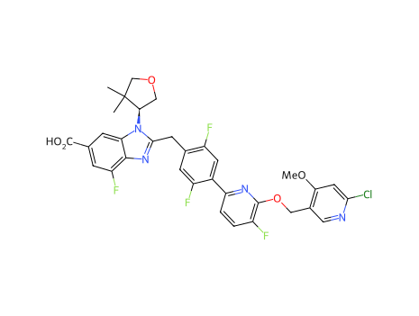 COc1cc(Cl)ncc1COc1nc(-c2cc(F)c(Cc3nc4c(F)cc(C(=O)O)cc4n3[C@@H]3COCC3(C)C)cc2F)ccc1F